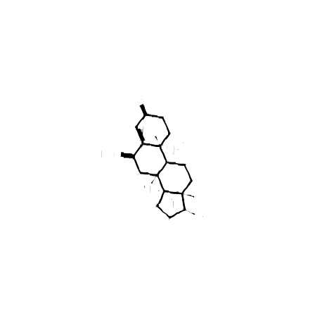 C=C1C[C@H]2[C@@H]3CC[C@H](O)[C@@]3(C)CC[C@@H]2[C@@]2(C)CCC(=O)C=C12